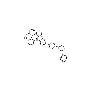 c1ccc(-c2cccc(-c3ccc(-c4ccc5c(c4)c4ccccc4n5-c4cccc5c4-c4ccccc4CO5)cc3)c2)cc1